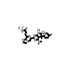 CN(C)c1nc(-c2cn3ccnc3c(CCC(F)(F)C(F)(F)F)n2)nc2c1C(C)(c1ccc(F)cn1)C(=O)N2